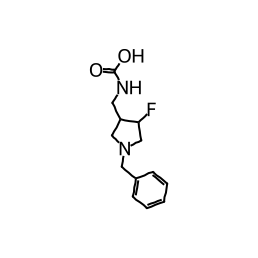 O=C(O)NCC1CN(Cc2ccccc2)CC1F